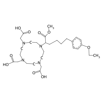 CCOc1ccc(CCCCC(C(=O)OC)N2CCN(CC(=O)O)CCN(CC(=O)O)CCN(CC(=O)O)CC2)cc1